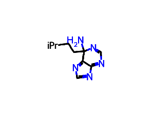 CC(C)CCC1(N)N=CN=C2N=CN=C21